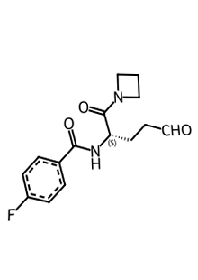 O=CCC[C@H](NC(=O)c1ccc(F)cc1)C(=O)N1CCC1